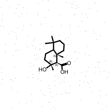 CC1(C)CCC[C@@]2(C)C1CC[C@@](C)(O)[C@@H]2C(=O)O